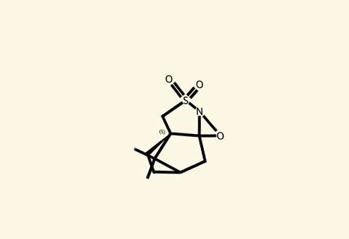 CC1(C)C2CC[C@]13CS(=O)(=O)N1OC13C2